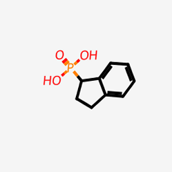 O=P(O)(O)C1CCc2ccccc21